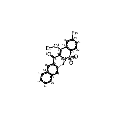 CCOC1=C(C(=O)c2ccc3ccccc3c2)N(C)S(=O)(=O)c2ccc(F)cc21